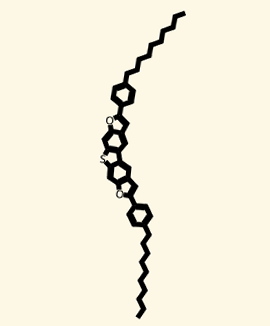 CCCCCCCCCCc1ccc(-c2cc3cc4c(cc3o2)sc2cc3oc(-c5ccc(CCCCCCCCCC)cc5)cc3cc24)cc1